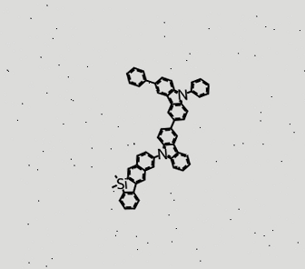 C[Si]1(C)c2ccccc2-c2cc3cc(-n4c5ccccc5c5cc(-c6ccc7c(c6)c6cc(-c8ccccc8)ccc6n7-c6ccccc6)ccc54)ccc3cc21